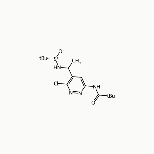 CC(N[S@@+]([O-])C(C)(C)C)c1cc(NC(=O)C(C)(C)C)nnc1Cl